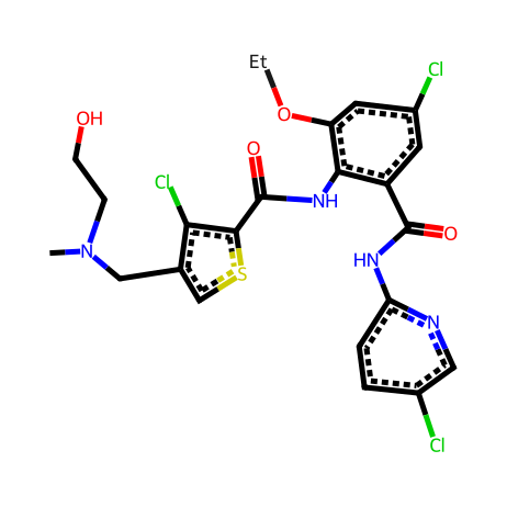 CCOc1cc(Cl)cc(C(=O)Nc2ccc(Cl)cn2)c1NC(=O)c1scc(CN(C)CCO)c1Cl